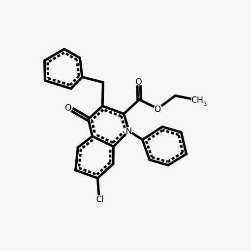 CCOC(=O)c1c(Cc2ccccc2)c(=O)c2ccc(Cl)cc2n1-c1ccccc1